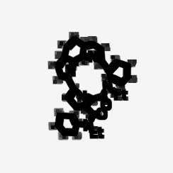 CCN(C(=O)c1ccc2nc1c(=O)n(CC)c1ccccc1c1ccc3ccc4ccc2nc4c3n1)c1ccccc1